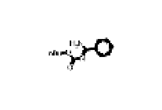 CCCCOC(=O)N=C(N)c1ccccc1